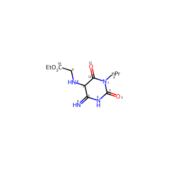 CCCN1C(=O)NC(=N)C(NCC(=O)OCC)C1=O